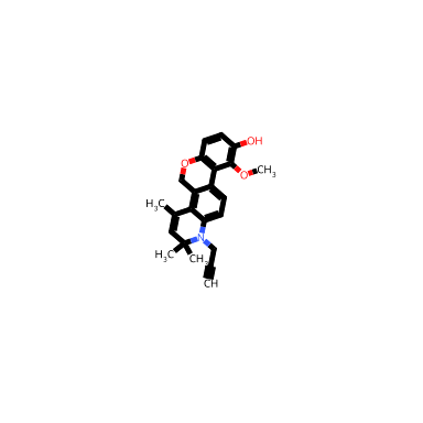 C#CCN1c2ccc3c(c2C(C)=CC1(C)C)COc1ccc(O)c(OC)c1-3